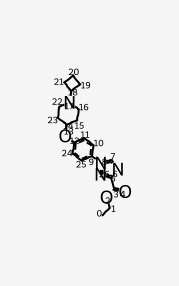 CCOC(=O)c1ncn(-c2ccc(OC3CCN(C4CCC4)CC3)cc2)n1